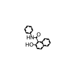 O=C(Nc1ccccc1)c1c(O)ccc2ccccc12